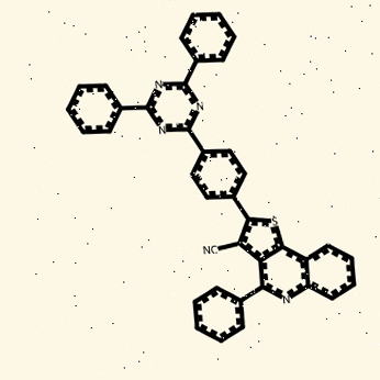 N#Cc1c(-c2ccc(-c3nc(-c4ccccc4)nc(-c4ccccc4)n3)cc2)sc2c1c(-c1ccccc1)nc1ccccc12